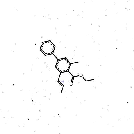 C/C=C/c1cc(-c2ccccc2)cc(C)c1C(=O)OCC